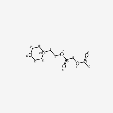 CC(=O)OCC(=O)OCCN1CCOCC1